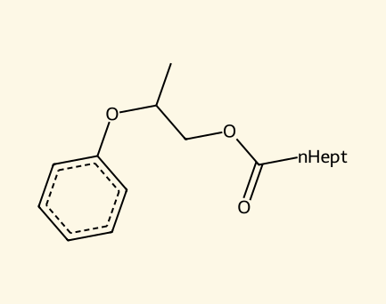 CCCCCCCC(=O)OCC(C)Oc1ccccc1